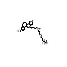 CN(CCCCCCC1=C(c2cccnc2)CCCc2cc(O)ccc21)CCCSCCCC(F)(F)C(F)(F)F